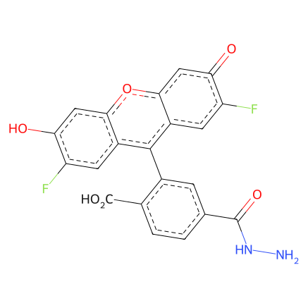 NNC(=O)c1ccc(C(=O)O)c(-c2c3cc(F)c(=O)cc-3oc3cc(O)c(F)cc23)c1